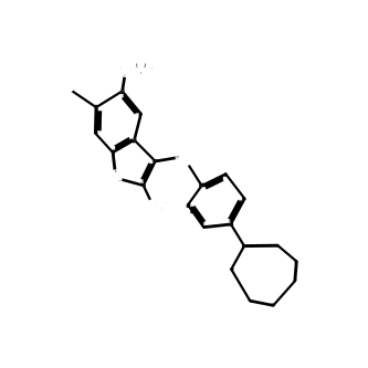 COc1cc2c(Oc3ccc(C4CCCCCC4)cc3)c(C(=O)O)sc2cc1C